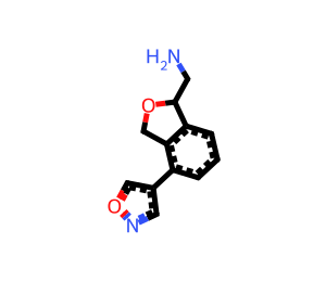 NCC1OCc2c(-c3cnoc3)cccc21